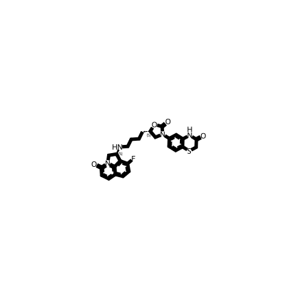 O=C1CSc2ccc(N3C[C@H](CCCCN[C@@H]4Cn5c(=O)ccc6ccc(F)c4c65)OC3=O)cc2N1